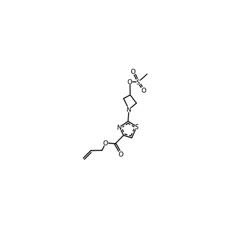 C=CCOC(=O)c1csc(N2CC(OS(C)(=O)=O)C2)n1